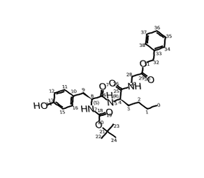 CCCC[C@@H](NC(=O)[C@H](Cc1ccc(O)cc1)NC(=O)OC(C)(C)C)C(=O)NCC(=O)OCc1ccccc1